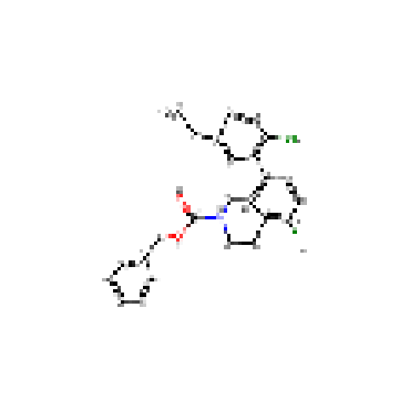 O=C(O)Cc1ccc(Cl)c(-c2ccc(F)c3c2CN(C(=O)OCc2ccccc2)CC3)c1